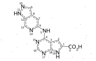 O=C(O)c1cc2c(Nc3cc4cn[nH]c4cn3)ncnc2[nH]1